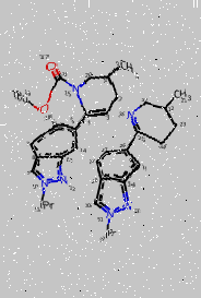 CC1CC=C(c2ccc3cn(C(C)C)nc3c2)N(C(=O)OC(C)(C)C)C1.CC1CCC(c2ccc3cn(C(C)C)nc3c2)=NC1